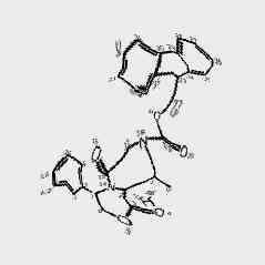 CC1[C@H]2C(=O)OC[C@@H](c3ccccc3)N2C(=O)CN1C(=O)OCC1c2ccccc2-c2ccccc21